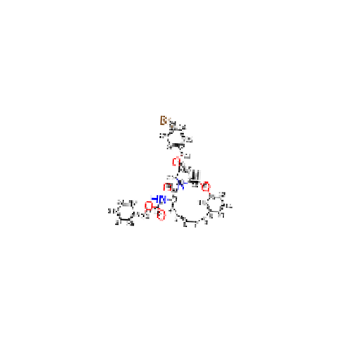 O=C(N[C@H]1C/C=C\CCc2cccc(c2)OC[C@@H]2C[C@H](OCc3ccc(Br)cc3)CN2C1=O)OCc1ccccc1